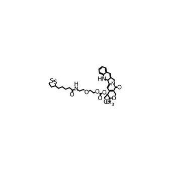 CCC1(OC(=O)OCCOCCNC(=O)CCCCC2CCSS2)C(=O)OCc2c1cc1n(c2=O)CC2=Cc3ccccc3NC21